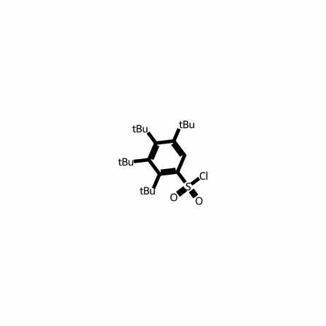 CC(C)(C)c1cc(S(=O)(=O)Cl)c(C(C)(C)C)c(C(C)(C)C)c1C(C)(C)C